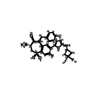 N[C@H]1CS(=O)(=O)c2cc(F)c(-c3nnc(NC4CC(F)(F)C4)o3)cc2N(Cc2ccc(Cl)cc2)C1=O